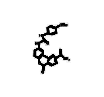 COc1ccc(NC(=O)Nc2ccc3oc(=O)c4ccc(C(N)=O)cc4c3c2)cc1